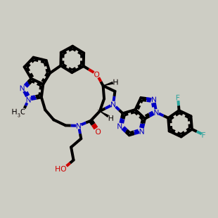 Cn1nc2cccc3c2c1CCCN(CCCO)C(=O)[C@@H]1C[C@@H](CN1c1ncnc2c1cnn2-c1ccc(F)cc1F)Oc1cccc-3c1